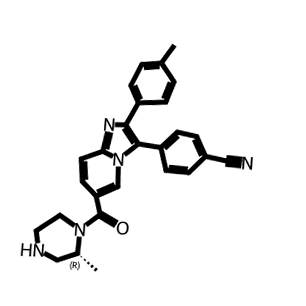 Cc1ccc(-c2nc3ccc(C(=O)N4CCNC[C@H]4C)cn3c2-c2ccc(C#N)cc2)cc1